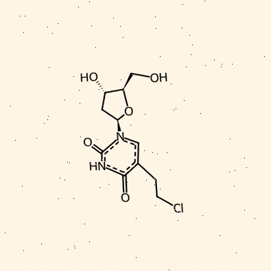 O=c1[nH]c(=O)n([C@H]2C[C@H](O)[C@@H](CO)O2)cc1CCCl